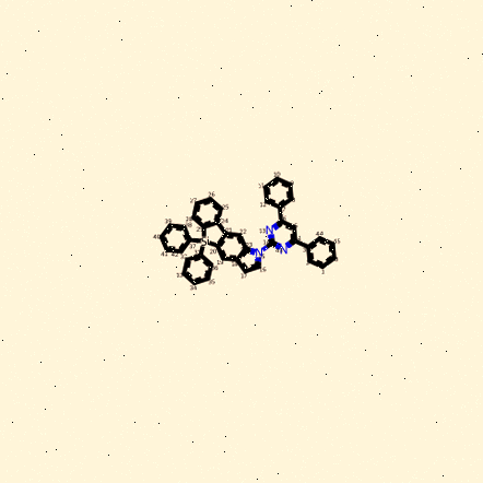 c1ccc(-c2cc(-c3ccccc3)nc(-n3ccc4cc5c(cc43)-c3ccccc3[Si]5(c3ccccc3)c3ccccc3)n2)cc1